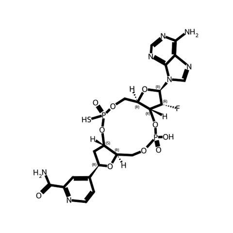 NC(=O)c1cc([C@H]2C[C@@H]3OP(=O)(S)OC[C@H]4O[C@@H](n5cnc6c(N)ncnc65)[C@H](F)[C@@H]4OP(=O)(O)OC[C@H]3O2)ccn1